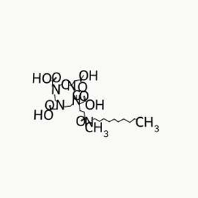 CCCCCCCCCCN(C)C(=O)CCC(C(=O)O)N1CCN(CC(=O)O)CCN(CC(=O)O)CCN(CC(=O)O)CC1